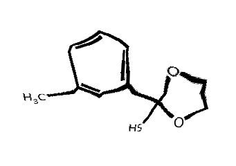 Cc1cccc(C2(S)OCCO2)c1